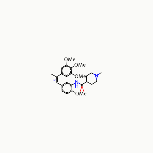 COc1ccc(/C=C(/C)c2cc(OC)c(OC)c(OC)c2)cc1NC(=O)C1CCN(C)CC1